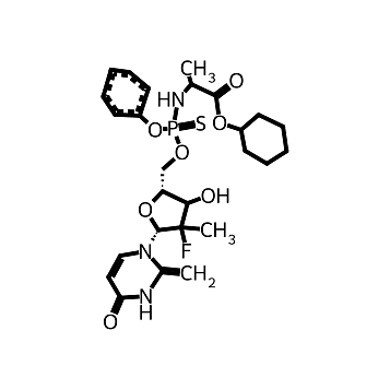 C=C1NC(=O)C=CN1[C@@H]1O[C@H](COP(=S)(NC(C)C(=O)OC2CCCCC2)Oc2ccccc2)C(O)C1(C)F